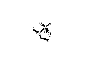 C=CN(C)S(C)(=O)=O